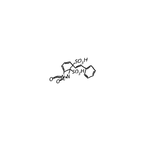 O=C=NC1=CC=CC(C=Cc2ccccc2)(S(=O)(=O)O)C1(N=C=O)S(=O)(=O)O